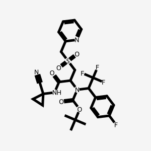 CC(C)(C)OC(=O)N(C(CS(=O)(=O)Cc1ccccn1)C(=O)NC1(C#N)CC1)C(c1ccc(F)cc1)C(F)(F)F